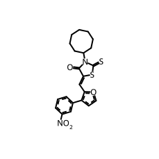 O=C1/C(=C/c2occc2-c2cccc([N+](=O)[O-])c2)SC(=S)N1C1CCCCCCC1